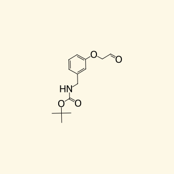 CC(C)(C)OC(=O)NCc1cccc(OCC=O)c1